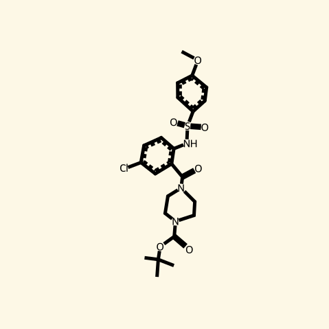 COc1ccc(S(=O)(=O)Nc2ccc(Cl)cc2C(=O)N2CCN(C(=O)OC(C)(C)C)CC2)cc1